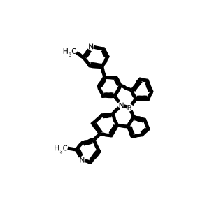 Cc1cc(-c2ccc3c(c2)-c2ccccc2B2c4ccccc4-c4cc(-c5ccnc(C)c5)ccc4N23)ccn1